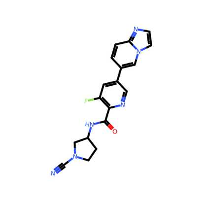 N#CN1CCC(NC(=O)c2ncc(-c3ccc4nccn4c3)cc2F)C1